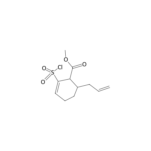 C=CCC1CCC=C(S(=O)(=O)Cl)C1C(=O)OC